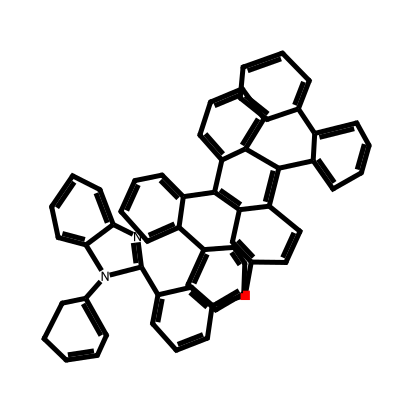 C1=CCCC(n2c(-c3cccc(Cc4ccc5c(-c6ccccc6-c6ccccc6)c6ccccc6c(-c6ccccc6-c6ccccc6)c5c4)c3)nc3ccccc32)=C1